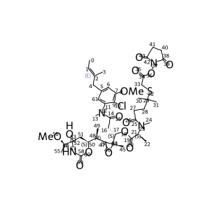 C/C=C(\C)Cc1cc(OC)c(Cl)c(N(C)C(=O)C[C@H](OC(=O)[C@H](C)N(C)C(=O)CCC(C)(C)SCC(=O)ON2C(=O)CCC2=O)[C@]2(C)O[C@H]2[C@H](C)[C@@H]2C[C@](O)([C@@H](C)OC)NC(=O)O2)c1